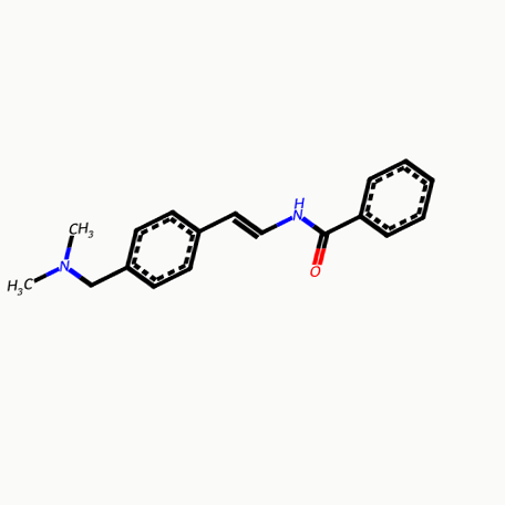 CN(C)Cc1ccc(/C=C/NC(=O)c2ccccc2)cc1